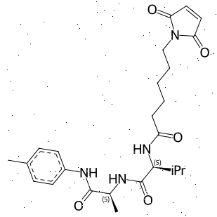 Cc1ccc(NC(=O)[C@H](C)NC(=O)[C@@H](NC(=O)CCCCCN2C(=O)C=CC2=O)C(C)C)cc1